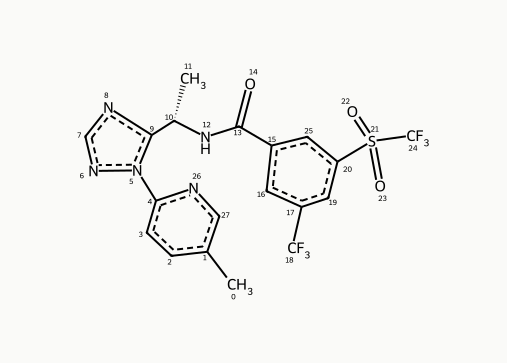 Cc1ccc(-n2ncnc2[C@H](C)NC(=O)c2cc(C(F)(F)F)cc(S(=O)(=O)C(F)(F)F)c2)nc1